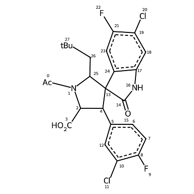 CC(=O)N1C(C(=O)O)C(c2ccc(F)c(Cl)c2)C2(C(=O)Nc3cc(Cl)c(F)cc32)C1CC(C)(C)C